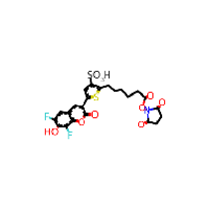 O=C(CCCCCc1sc(-c2cc3cc(F)c(O)c(F)c3oc2=O)cc1S(=O)(=O)O)ON1C(=O)CCC1=O